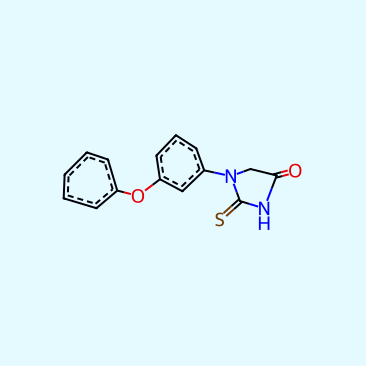 O=C1CN(c2cccc(Oc3ccccc3)c2)C(=S)N1